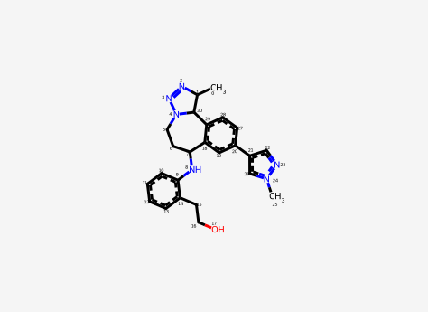 CC1N=NN2CCC(Nc3ccccc3CCO)c3cc(-c4cnn(C)c4)ccc3C12